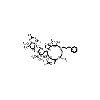 CCC(=O)O[C@@H]1CC(=O)O[C@H](C)CCN(CCCc2ccccc2)C[C@H](O)[C@H](C)C[C@H](CC=O)[C@H]([C@@H]2O[C@H](C)[C@@H](O[C@@H]3C[C@@](C)(OC(C)=O)[C@@H](OC(=O)CC)[C@H](C)O3)[C@H](N(C)C)[C@H]2O)[C@@H]1OC